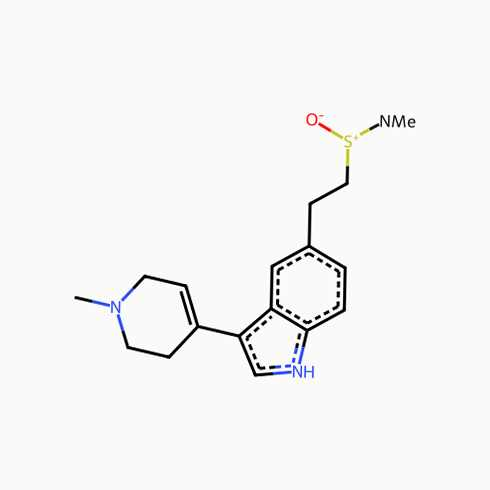 CN[S+]([O-])CCc1ccc2[nH]cc(C3=CCN(C)CC3)c2c1